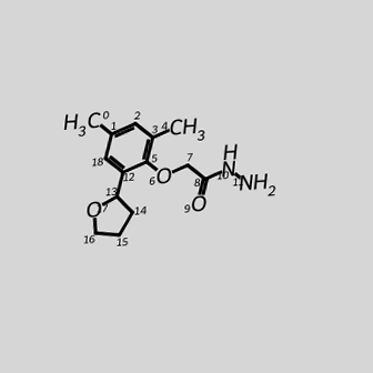 Cc1cc(C)c(OCC(=O)NN)c(C2CCCO2)c1